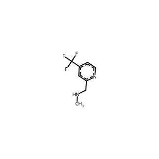 CNCc1cc(C(F)(F)F)ccn1